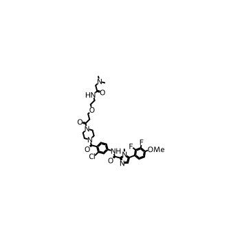 COc1ccc(-c2cnc(C(=O)Nc3ccc(C(=O)N4CCN(C(=O)CCOCCNC(=O)CN(C)C)CC4)c(Cl)c3)n2C)c(F)c1F